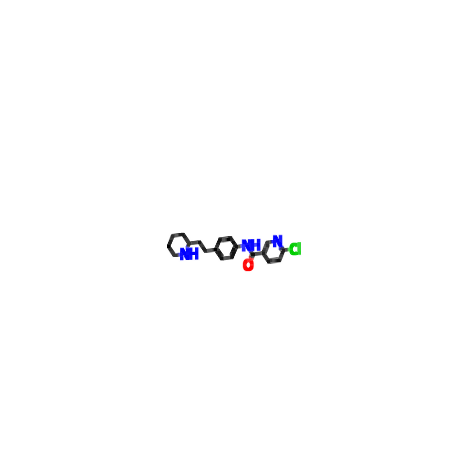 O=C(Nc1ccc(CCC2CCCCN2)cc1)c1ccc(Cl)nc1